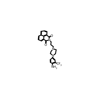 Nc1ccc(N2CCN(CCCN3C(=O)c4cccc5cccc(c45)C3=O)CC2)cc1C(F)(F)F